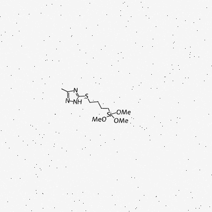 CO[Si](CCCCSc1nc(C)n[nH]1)(OC)OC